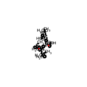 C=C(C)C(=O)NCCCN(Cc1ccc(CN(Cc2cccc(OC3=C(/C=C/C4=[N+](CCC)c5ccccc5C4(C)C)CCC/C3=C\C=C3\N(CCC)c4ccccc4C3(C)C)c2)Cc2ccccc2B(O)O)cc1)Cc1ccccc1B(O)O